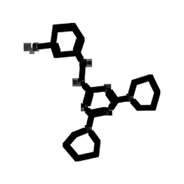 Cc1cccc(NNc2nc(N3CCCCC3)nc(N3CCCCC3)n2)c1